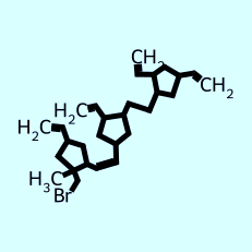 C=CC1CC(C=C)C(CCC2CC(/C=C\C3CC(C=C)CC3(C)CBr)CC2C=C)C1